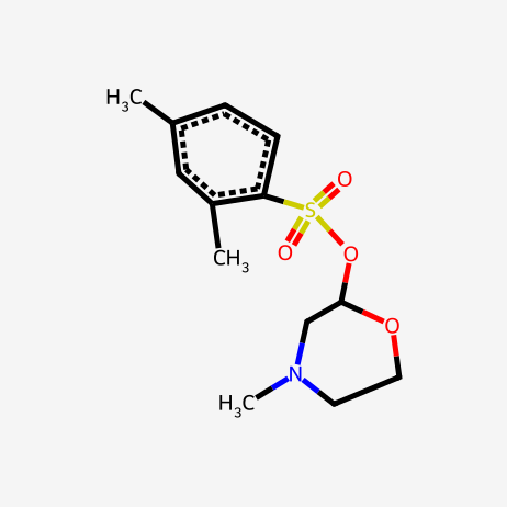 Cc1ccc(S(=O)(=O)OC2CN(C)CCO2)c(C)c1